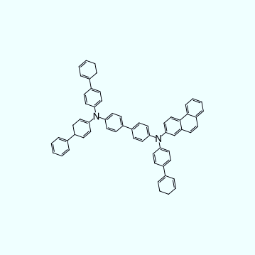 C1=CCCC(c2ccc(N(C3=CCC(c4ccccc4)C=C3)c3ccc(-c4ccc(N(c5ccc(C6=CCCC=C6)cc5)c5ccc6c(ccc7ccccc76)c5)cc4)cc3)cc2)=C1